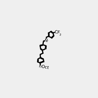 CCCCCCCCc1ccc(CCc2ccc(C[N]Cc3ccc(C(F)(F)F)cc3)cc2)cc1